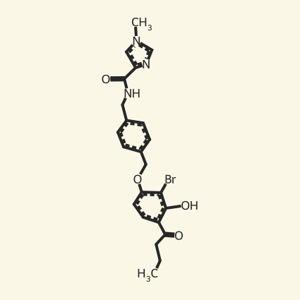 CCCC(=O)c1ccc(OCc2ccc(CNC(=O)c3cn(C)cn3)cc2)c(Br)c1O